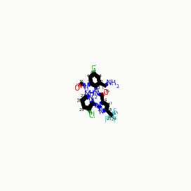 NCc1cc(Cl)cc(N(N)C=O)c1NC(=O)c1cc(C(F)(F)F)nn1-c1ncccc1Cl